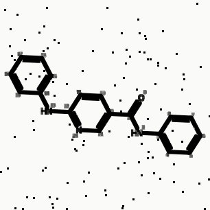 O=C(Nc1ccccc1)c1ccc(Nc2ccccc2)nc1